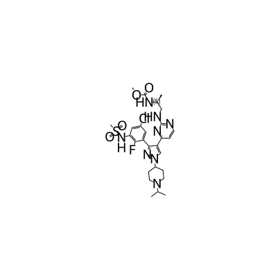 COC(=O)N[C@@H](C)CNc1nccc(-c2cn(C3CCN(C(C)C)CC3)nc2-c2cc(Cl)cc(NS(C)(=O)=O)c2F)n1